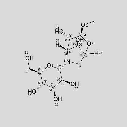 CO[C@H]1O[C@@H]2CN([C@H]3O[C@H](CO)[C@@H](O)[C@H](O)[C@@H]3O)[C@@H](C2O)[C@@H]1O